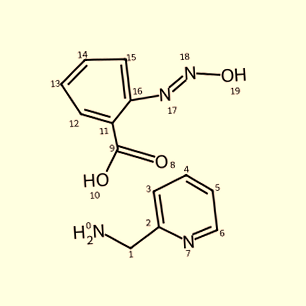 NCc1ccccn1.O=C(O)c1ccccc1N=NO